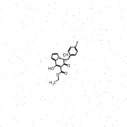 CCOC(=O)C1=C(O)c2cccn2[C@@](C)(Cc2ccc(F)cc2)C1=O